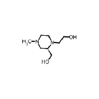 CN1CCN(CCO)[C@@H](CO)C1